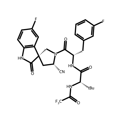 CC(C)(C)[C@H](NC(=O)C(F)(F)F)C(=O)N[C@@H](Cc1cccc(F)c1)C(=O)N1C[C@]2(C[C@H]1C#N)C(=O)Nc1ccc(F)cc12